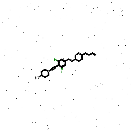 C=CCCC1CCC(CCc2cc(F)c(C#CC3CCC(CC)CC3)c(F)c2)CC1